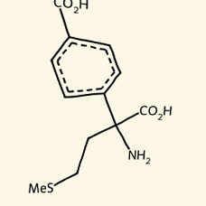 CSCCC(N)(C(=O)O)c1ccc(C(=O)O)cc1